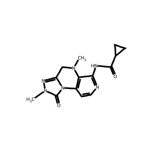 CN1Cc2nn(C)c(=O)n2-c2ccnc(NC(=O)C3CC3)c21